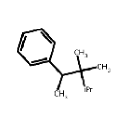 CC(C)C(C)(C)C(C)c1ccccc1